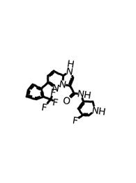 O=C(NC1=CC(F)=CNC1)C1=CNC2C=CC(c3ccccc3C(F)(F)F)=NN12